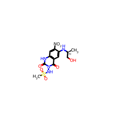 C[C@@H](CO)Nc1cc2c(=O)n(NS(C)(=O)=O)c(=O)[nH]c2cc1[N+](=O)[O-]